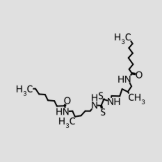 CCCCCCCC(=O)NCC(C)CCCNC(=S)C(=S)NCCCC(C)CNC(=O)CCCCCCC